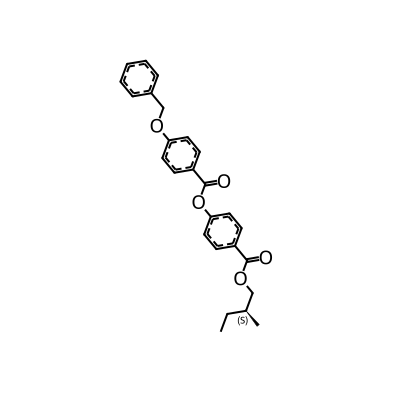 CC[C@H](C)COC(=O)c1ccc(OC(=O)c2ccc(OCc3ccccc3)cc2)cc1